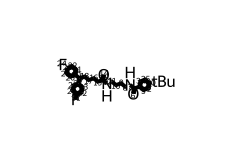 CC(C)(C)c1ccc(C(=O)NCCCCNC(=O)CCCCC(c2ccc(F)cc2)c2ccc(F)cc2)cc1